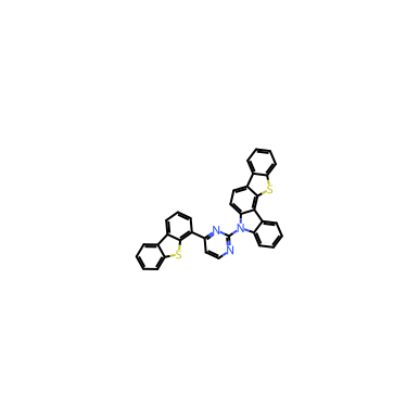 c1ccc2c(c1)sc1c(-c3ccnc(-n4c5ccccc5c5c6sc7ccccc7c6ccc54)n3)cccc12